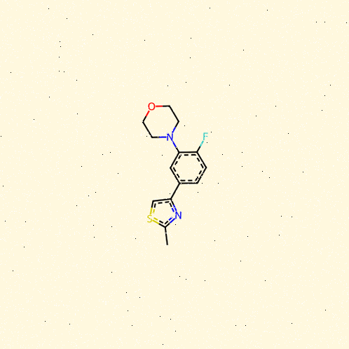 Cc1nc(-c2ccc(F)c(N3CCOCC3)c2)cs1